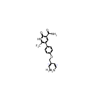 N/C=C\C(=C/N)COc1ccc(-c2cc(C(N)=O)c(=O)[nH]c2C(F)(F)F)cc1